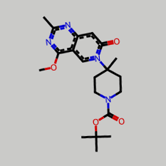 COc1nc(C)nc2cc(=O)n(C3(C)CCN(C(=O)OC(C)(C)C)CC3)cc12